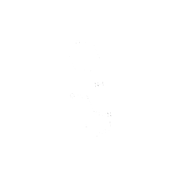 O=C(NC1CCOCC1)c1nccs1